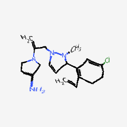 C=CC1=C(C2C=CN(CC(=C)N3CCC(N)C3)N2C)C=C(Cl)CC1